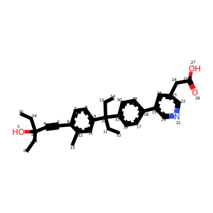 CCC(O)(C#Cc1ccc(C(CC)(CC)c2ccc(-c3cncc(CC(=O)O)c3)cc2)cc1C)CC